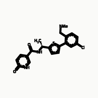 CNCc1ccc(Cl)cc1-c1ccc([C@@H](C)NC(=O)c2ccc(=O)[nH]c2)s1